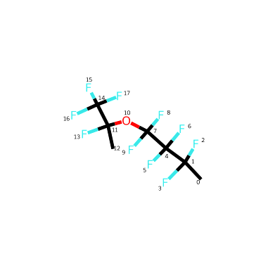 CC(F)(F)C(F)(F)C(F)(F)OC(C)(F)C(F)(F)F